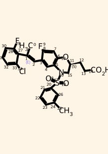 C/C(=C\c1cc2c(cc1F)O[C@@H](CCC(=O)O)CN2S(=O)(=O)c1cccc(C)c1)c1c(F)cccc1Cl